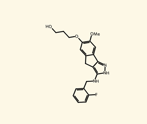 COc1cc2c(cc1OCCCO)Cc1c-2n[nH]c1NCc1ccccc1F